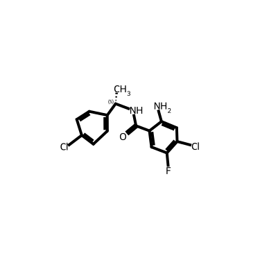 C[C@H](NC(=O)c1cc(F)c(Cl)cc1N)c1ccc(Cl)cc1